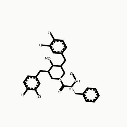 O=C([C@@H](Cc1ccccc1)NCl)N1CC(Cc2ccc(Cl)c(Cl)c2)C(O)C(Cc2ccc(Cl)c(Cl)c2)C1